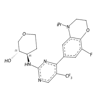 CC(C)N1CCOc2c(F)cc(-c3nc(N[C@@H]4CCOC[C@H]4O)ncc3C(F)(F)F)cc21